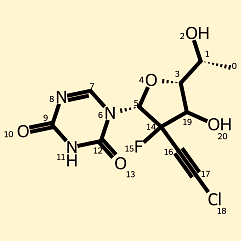 C[C@@H](O)[C@H]1O[C@@H](n2cnc(=O)[nH]c2=O)C(F)(C#CCl)C1O